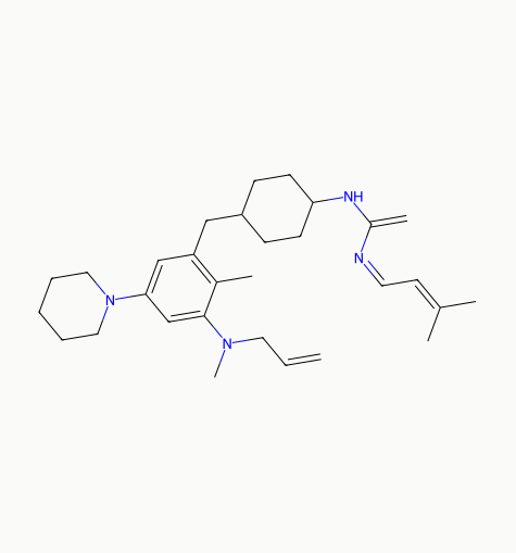 C=CCN(C)c1cc(N2CCCCC2)cc(CC2CCC(NC(=C)/N=C\C=C(C)C)CC2)c1C